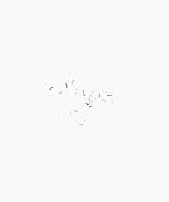 CC1(C)c2ccccc2-c2ccc(N(c3ccc(-c4sc(/C=C(/C#N)C(=O)O)c5c4OCCO5)cc3)c3ccc4c(c3)C(C)(C)c3ccccc3-4)cc21